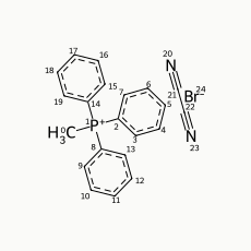 C[P+](c1ccccc1)(c1ccccc1)c1ccccc1.N#CC#N.[Br-]